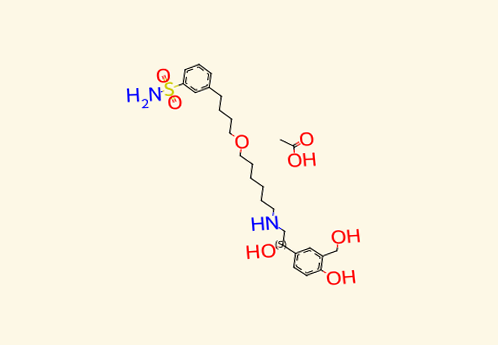 CC(=O)O.NS(=O)(=O)c1cccc(CCCCOCCCCCCNC[C@@H](O)c2ccc(O)c(CO)c2)c1